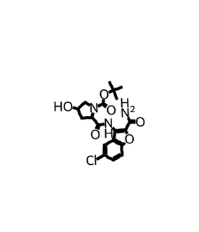 CC(C)(C)OC(=O)N1CC(O)CC1C(=O)Nc1c(C(N)=O)oc2ccc(Cl)cc12